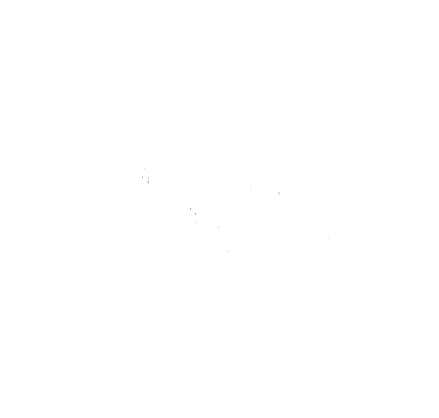 Cc1cn(-c2ccc3c(c2)OCO3)c(C)n1